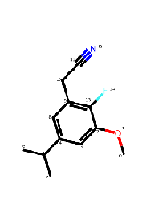 COc1cc(C(C)C)cc(CC#N)c1F